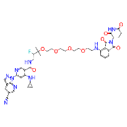 CC(C)(OCCOCCOCCOCCNc1cccc2c1C(=O)N(C1CCC(=O)NC1=O)C2=O)C(F)CNC(=O)c1cnc(-n2ncc3cc(C#N)cnc32)cc1NC1CC1